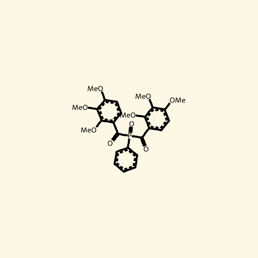 COc1ccc(C(=O)P(=O)(C(=O)c2ccc(OC)c(OC)c2OC)c2ccccc2)c(OC)c1OC